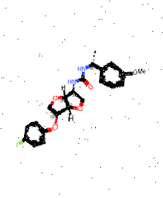 COc1cccc([C@@H](C)NC(=O)N[C@H]2CO[C@H]3[C@@H]2OC[C@@H]3Oc2ccc(F)cc2)c1